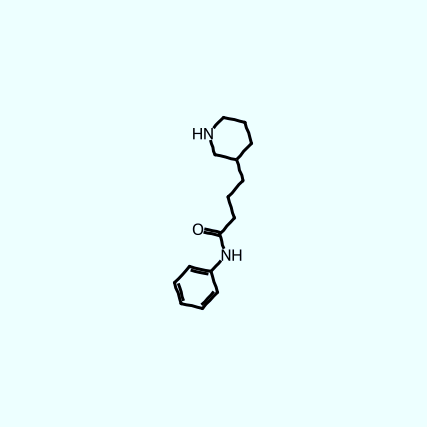 O=C(CCCC1CCCNC1)Nc1ccccc1